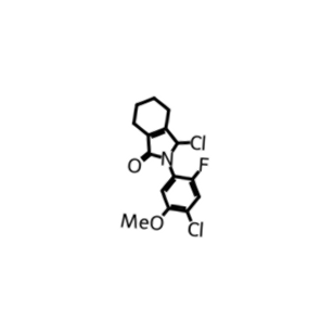 COc1cc(N2C(=O)C3=C(CCCC3)C2Cl)c(F)cc1Cl